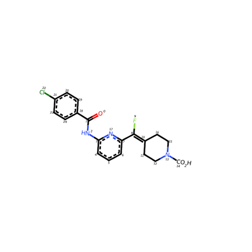 O=C(Nc1cccc(C(F)=C2CCN(C(=O)O)CC2)n1)c1ccc(Cl)cc1